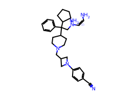 N#Cc1ccc(N2CC(CN3CCC(C(CN(N)/C=C\N)(c4ccccc4)C4CCCC4)CC3)C2)cc1